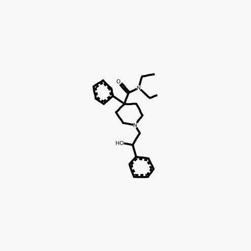 CCN(CC)C(=O)C1(c2ccccc2)CCN(CC(O)c2ccccc2)CC1